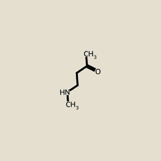 CNCCC(C)=O